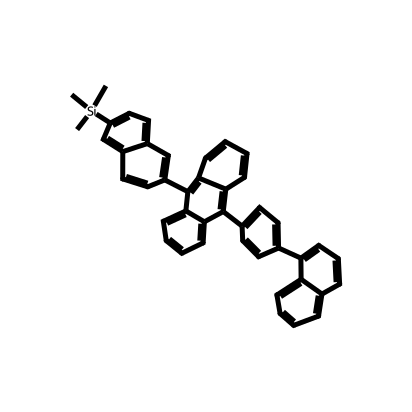 C[Si](C)(C)c1ccc2cc(-c3c4ccccc4c(-c4ccc(-c5cccc6ccccc56)cc4)c4ccccc34)ccc2c1